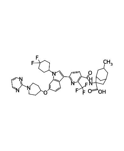 CC1CC2CC(C1)C(NC(=O)c1ccc(-c3cn(C4CCC(F)(F)CC4)c4cc(OC5CCN(c6ncccn6)CC5)ccc34)nc1C(F)(F)F)(C(=O)O)C2